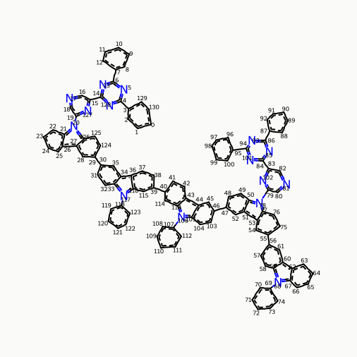 c1ccc(-c2nc(-c3ccccc3)nc(-c3cncc(-n4c5ccccc5c5cc(-c6ccc7c(c6)c6ccc(-c8ccc9c%10cc(-c%11ccc%12c(c%11)c%11cc(-c%13ccc%14c(c%13)c%13ccccc%13n%14-c%13ccccc%13)ccc%11n%12-c%11cncc(-c%12nc(-c%13ccccc%13)nc(-c%13ccccc%13)n%12)n%11)ccc%10n(-c%10ccccc%10)c9c8)cc6n7-c6ccccc6)ccc54)n3)n2)cc1